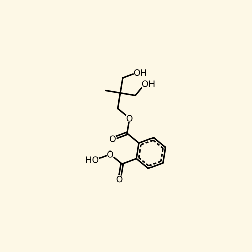 CC(CO)(CO)COC(=O)c1ccccc1C(=O)OO